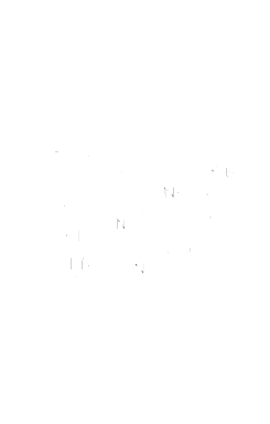 Bc1nc2ccc(O)nc2n1-c1ccccc1C